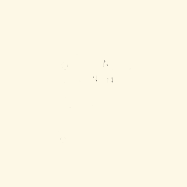 c1ccc(-c2nc(-c3ccccc3)nc(-c3cccc4oc5cc6cc(-c7cccc8oc9ccccc9c78)ccc6cc5c34)n2)cc1